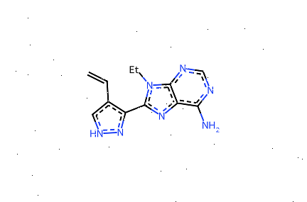 C=Cc1c[nH]nc1-c1nc2c(N)ncnc2n1CC